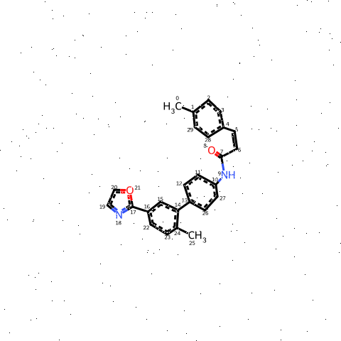 Cc1ccc(/C=C\C(=O)Nc2ccc(-c3cc(-c4ncco4)ccc3C)cc2)cc1